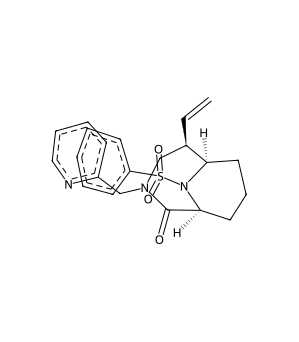 C=C[C@@H]1CN(Cc2ccccn2)C(=O)[C@@H]2CCC[C@H]1N2S(=O)(=O)c1ccccc1